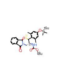 Cc1cc(O[Si](C)(C)C(C)(C)C)cc(C)c1C(S)[C@@H](CN1C(=O)c2ccccc2C1=O)NC(=O)OC(C)(C)C